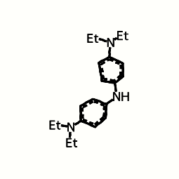 CCN(CC)c1ccc(Nc2ccc(N(CC)CC)cc2)cc1